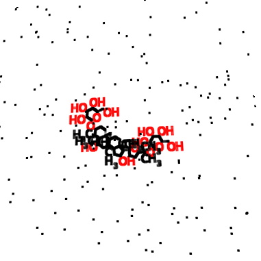 CC(C)(O[C@@H]1O[C@H](CO)[C@@H](O)[C@H](O)[C@H]1O)C1CC[C@@](C)([C@H]2[C@@H](O)C[C@@]3(C)[C@@H]4CC(O)[C@H]5C(C)(C)C(O[C@@H]6O[C@H](CO)[C@@H](O)[C@H](O)[C@H]6O)CC[C@@]56C[C@@]46CC[C@]23C)O1